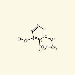 CCOc1cccc(OC(F)(F)F)c1C(=O)O